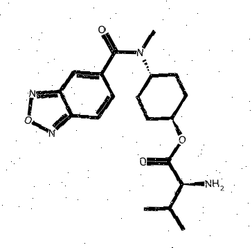 CC(C)[C@H](N)C(=O)O[C@H]1CC[C@H](N(C)C(=O)c2ccc3nonc3c2)CC1